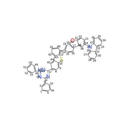 c1ccc(C2=NC(c3ccc4sc5c(-c6ccc7c(c6)oc6ccc(-n8c9ccccc9c9ccccc98)cc67)cccc5c4c3)NC(c3ccccc3)=N2)cc1